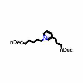 CCCCCCCCCCCCCCC[n+]1cccc(CCCCCCCCCCCCC)c1